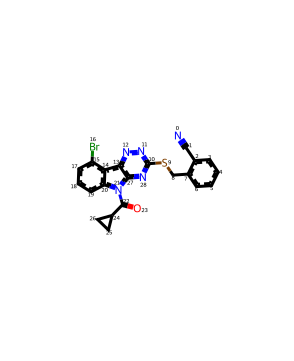 N#Cc1ccccc1CSc1nnc2c3c(Br)cccc3n(C(=O)C3CC3)c2n1